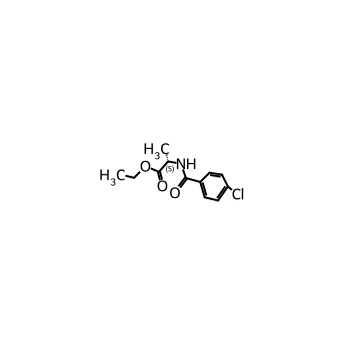 CCOC(=O)[C@H](C)NC(=O)c1ccc(Cl)cc1